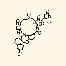 COc1nn(C)cc1C(=O)NC1[C@@H](C)[C@H](OC)/C=C/[C@H](OC)[C@@H]2CC[C@H]2CN2C[C@@]3(CCCc4cc(Cl)ccc43)COc3ccc(cc32)C(=O)/N=[SH]\1=O